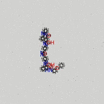 O=C(Nc1cccc(OCC2CCCCC2)c1)c1cc2ccccc2c(N=Nc2ccc(-c3nnc(-c4ccc(N=Nc5c(O)cc6c(=O)n7c8ccccc8nc7c7cccc5c67)cc4)o3)cc2)c1O